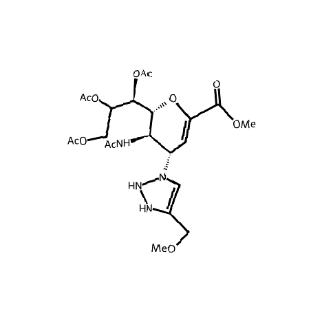 COCC1=CN([C@H]2C=C(C(=O)OC)O[C@@H]([C@H](OC(C)=O)C(COC(C)=O)OC(C)=O)[C@@H]2NC(C)=O)NN1